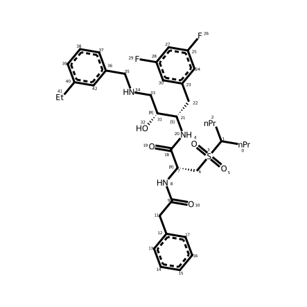 CCCC(CCC)S(=O)(=O)C[C@H](NC(=O)Cc1ccccc1)C(=O)N[C@@H](Cc1cc(F)cc(F)c1)[C@H](O)CNCc1cccc(CC)c1